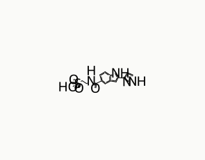 O=C(NCCS(=O)(=O)O)c1ccc2[nH]c(-c3cc[nH]n3)cc2c1